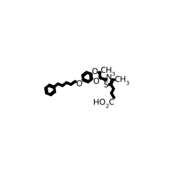 Cc1nc(C(=O)C(C)Oc2ccc(OCCCCCc3ccccc3)cc2)sc1CCCC(=O)O